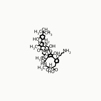 Cc1nc(-c2ccc(C(C)(C)C)cc2O)cc(CN)c1C(=O)NCC(=O)N(C)[C@@H]1C(=O)N[C@@H](C)C(=O)N[C@H](C(=O)O)Cc2ccc(OCCCN)c(c2)-c2cc1cc(OC[C@H](O)CN)c2O